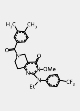 CCN(c1ccc(C(F)(F)F)cc1)c1nc2c(c(=O)n1OC)CN(C(=O)c1ccc(C)c(C)c1)CC2